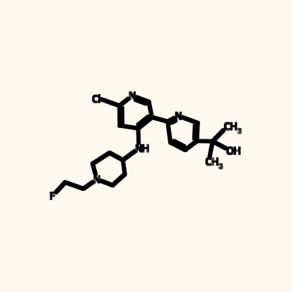 CC(C)(O)c1ccc(-c2cnc(Cl)cc2NC2CCN(CCF)CC2)nc1